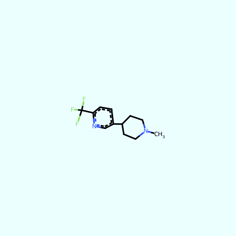 CN1CCC(c2ccc(C(F)(F)F)nc2)CC1